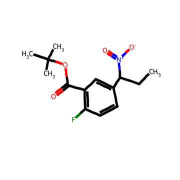 CCC(c1ccc(F)c(C(=O)OC(C)(C)C)c1)[N+](=O)[O-]